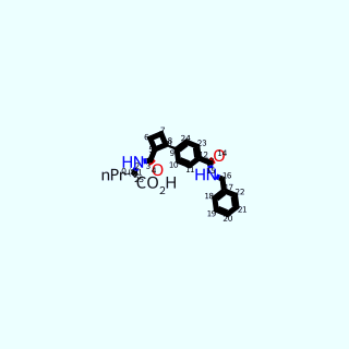 CCC[C@H](NC(=O)C1CC[C@H]1c1ccc(C(=O)NCc2ccccc2)cc1)C(=O)O